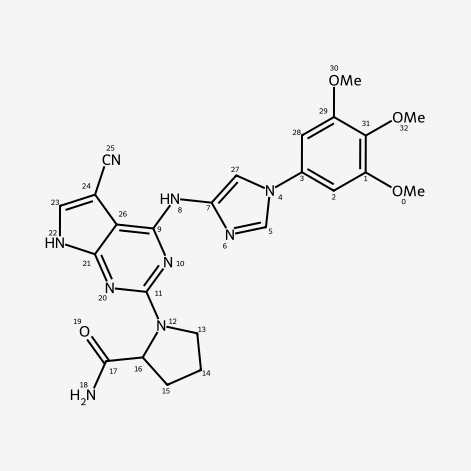 COc1cc(-n2cnc(Nc3nc(N4CCCC4C(N)=O)nc4[nH]cc(C#N)c34)c2)cc(OC)c1OC